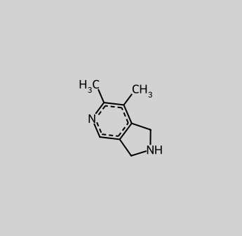 Cc1ncc2c(c1C)CNC2